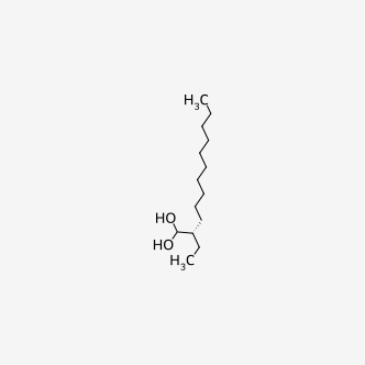 CCCCCCCCCC[C@H](CC)C(O)O